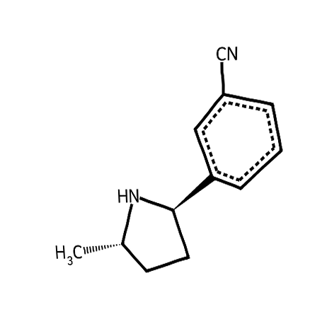 C[C@H]1CC[C@H](c2cccc(C#N)c2)N1